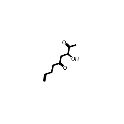 C=CCCC(=O)CC(O)C(C)=O